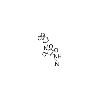 CN(C)CCNC1=CC(=O)c2nc(-c3ccc4c(c3)OCO4)oc2C1=O